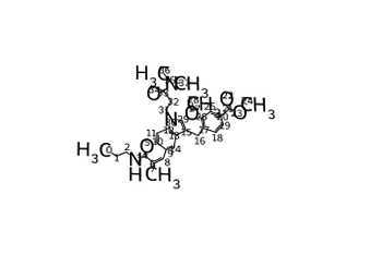 CCCNC(=O)C(C)=Cc1ccc2c(c1)c(Cc1ccc(C(=O)OC)cc1OC)cn2CCC(=O)N(C)C